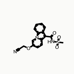 CS(=O)(=O)NC(=O)c1c2ccccc2n2cc(OCC#N)ccc12